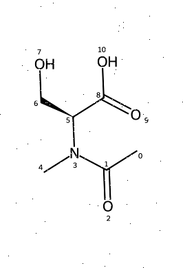 CC(=O)N(C)[C@@H](CO)C(=O)O